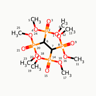 COP(=O)(OC)C(C(P(=O)(OC)OC)P(=O)(OC)OC)P(=O)(OC)OC